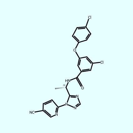 C[C@H](NC(=O)c1cc(Cl)cc(Oc2ccc(Cl)cc2)c1)c1ncnn1-c1ccc(C#N)cn1